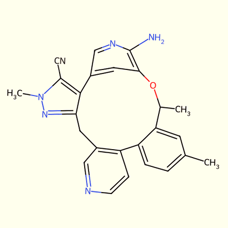 Cc1ccc2c(c1)C(C)Oc1cc(cnc1N)-c1c(nn(C)c1C#N)Cc1cnccc1-2